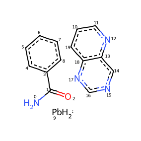 NC(=O)c1ccccc1.[PbH2].c1cnc2cncnc2c1